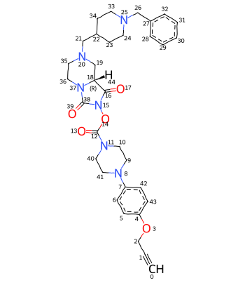 C#CCOc1ccc(N2CCN(C(=O)ON3C(=O)[C@H]4CN(CC5CCN(Cc6ccccc6)CC5)CCN4C3=O)CC2)cc1